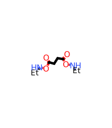 CCNOC(=O)CCC(=O)ONCC